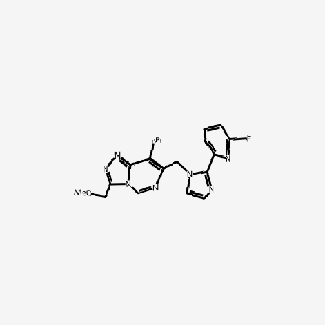 CCCc1c(Cn2ccnc2-c2cccc(F)n2)ncn2c(COC)nnc12